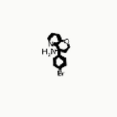 N[C@]1(c2ccc(Br)cc2)CCOc2cccnc21